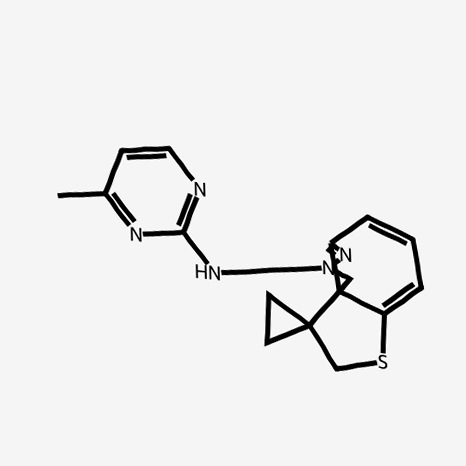 Cc1ccnc(NN2CC34C(=CC=CC3=N2)SCC42CC2)n1